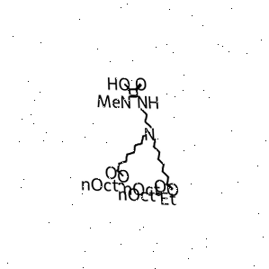 CCCCCCCCC(CC)OC(=O)CCCCCCCN(CCCCCCCC(=O)OC(CCCCCCCC)CCCCCCCC)CCCCNC1=C(NC)C(O)C1=O